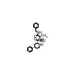 C[C@H](NC(=O)[C@H]1C[C@@H](c2ccccc2)CCN1)C(=O)NCc1ccccc1.Cl.Cl